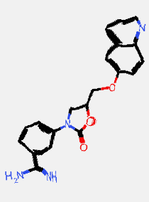 N=C(N)c1cccc(N2CC(COc3ccc4ncccc4c3)OC2=O)c1